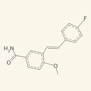 COc1ccc(C(N)=O)cc1C=Cc1ccc(F)cc1